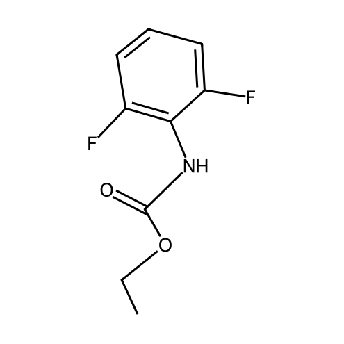 CCOC(=O)Nc1c(F)cccc1F